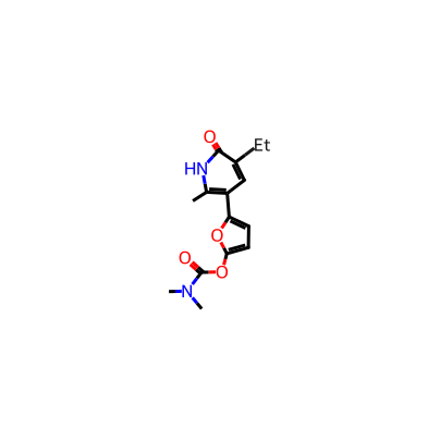 CCc1cc(-c2ccc(OC(=O)N(C)C)o2)c(C)[nH]c1=O